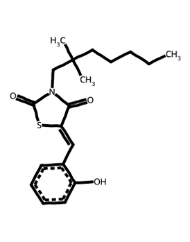 CCCCCC(C)(C)CN1C(=O)S/C(=C\c2ccccc2O)C1=O